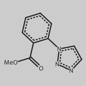 COC(=O)c1ccccc1-n1ccnn1